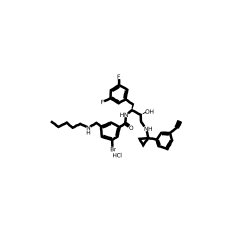 C#Cc1cccc(C2(NC[C@@H](O)[C@H](Cc3cc(F)cc(F)c3)NC(=O)c3cc(Br)cc(CNCCCCC)c3)CC2)c1.Cl